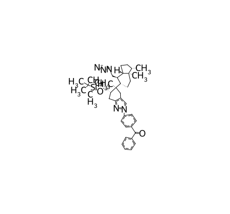 C[C@H]1CC[C@H]2[C@H](CN=[N+]=[N-])[C@@H]([C@@]3(C)Cc4cn(-c5ccc(C(=O)c6ccccc6)cc5)nc4C[C@@H]3CO[Si](C)(C)C(C)(C)C)CC[C@]12C